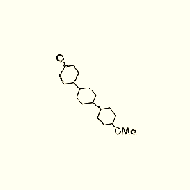 COC1CCC(C2CCC(C3CCC(=O)CC3)CC2)CC1